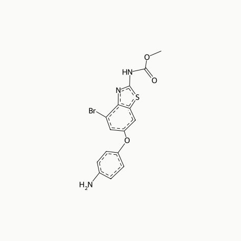 COC(=O)Nc1nc2c(Br)cc(Oc3ccc(N)cc3)cc2s1